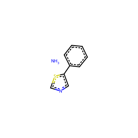 N.c1ccc(-c2cncs2)cc1